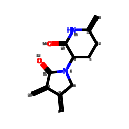 C=C1CCC(N2CC(=C)C(=C)C2=O)C(=O)N1